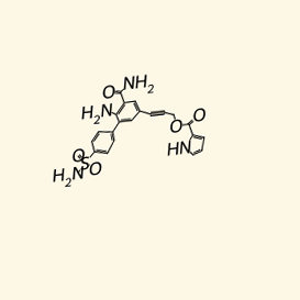 NC(=O)c1cc(C#CCOC(=O)c2ccc[nH]2)cc(-c2ccc(S(N)(=O)=O)cc2)c1N